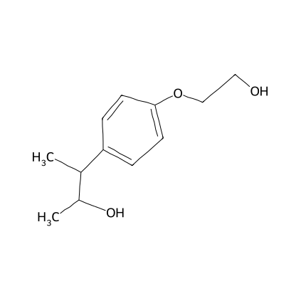 CC(O)C(C)c1ccc(OCCO)cc1